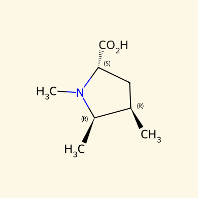 C[C@@H]1C[C@@H](C(=O)O)N(C)[C@@H]1C